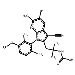 COc1ccc(C)c(-n2c(CC(C)(C)NC(=O)O)c(C#N)c3cc(Br)c(C)nc32)c1C